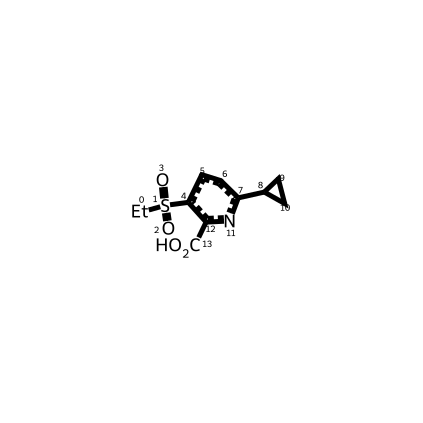 CCS(=O)(=O)c1ccc(C2CC2)nc1C(=O)O